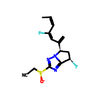 C=C(/C=C(F)\C=C/C)[C@@H]1C[C@H](F)c2nc([S@@+]([O-])CC#N)nn21